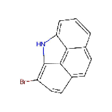 Brc1ccc2ccc3cccc4[nH]c1c2c34